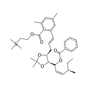 CC[C@@H](C)/C=C\C(OC(=O)c1ccccc1)[C@H]1OC(C)(C)O[C@H]1C/C=C/c1cc(C)cc(C)c1C(=O)OCC[Si](C)(C)C